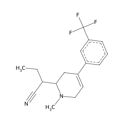 CCC(C#N)C1CC(c2cccc(C(F)(F)F)c2)=CCN1C